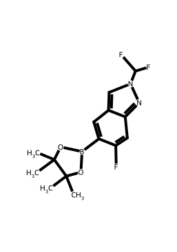 CC1(C)OB(c2cc3cn(C(F)F)nc3cc2F)OC1(C)C